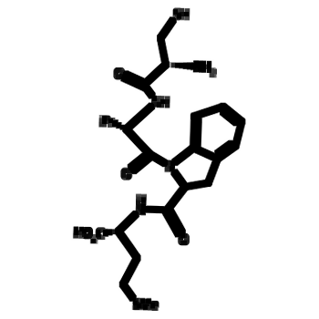 CSCC[C@@H](NC(=O)C1Cc2ccccc2N1C(=O)[C@@H](NC(=O)[C@@H](N)CS)C(C)C)C(=O)O